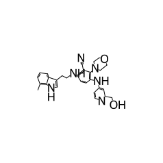 Cc1cccc2c(CCNc3ccc(Nc4ccnc(CO)c4)c(N4CCOCC4)c3C#N)c[nH]c12